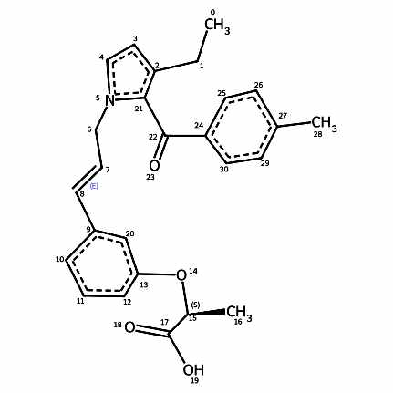 CCc1ccn(C/C=C/c2cccc(O[C@@H](C)C(=O)O)c2)c1C(=O)c1ccc(C)cc1